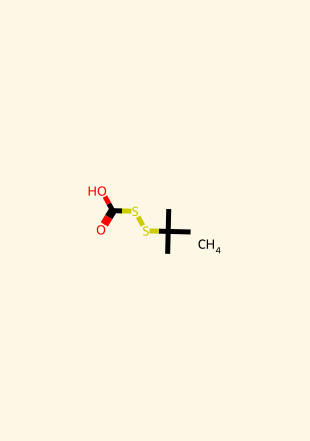 C.CC(C)(C)SSC(=O)O